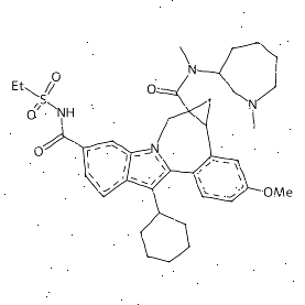 CCS(=O)(=O)NC(=O)c1ccc2c(C3CCCCC3)c3n(c2c1)CC1(C(=O)N(C)C2CCCCN(C)C2)CC1c1cc(OC)ccc1-3